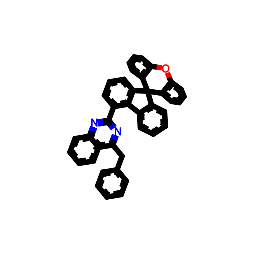 c1ccc(Cc2nc(-c3cccc4c3-c3ccccc3C43c4ccccc4Oc4ccccc43)nc3ccccc23)cc1